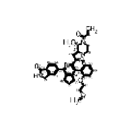 C=CC(=O)N1CCn2nc(-c3nc(-c4ccc5c(c4)CNC5=O)c4c(c3-c3c(F)cccc3OCCOC)CCC4)cc2[C@H]1C